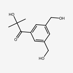 CC(C)(O)C(=O)c1cc(CO)cc(CO)c1